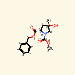 CC[C@@]1(O)C[C@@H](C(=O)OCc2ccccc2)N(C(=O)OC(C)(C)C)C1